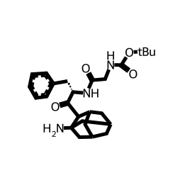 CC(C)(C)OC(=O)NCC(=O)N[C@@H](Cc1ccccc1)C(=O)C1C2CC3CC(C2)CC1(N)C3